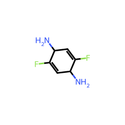 NC1C=C(F)C(N)C=C1F